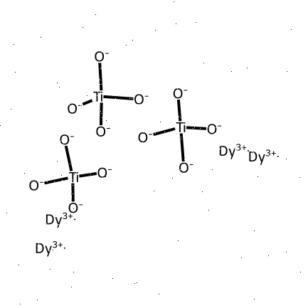 [Dy+3].[Dy+3].[Dy+3].[Dy+3].[O-][Ti]([O-])([O-])[O-].[O-][Ti]([O-])([O-])[O-].[O-][Ti]([O-])([O-])[O-]